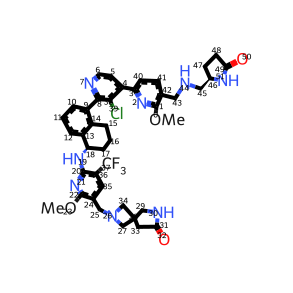 COc1nc(-c2ccnc(-c3cccc4c3CCC[C@H]4Nc3nc(OC)c(CN4CC5(CNC(=O)C5)C4)cc3C(F)(F)F)c2Cl)ccc1CNC[C@H]1CCC(=O)N1